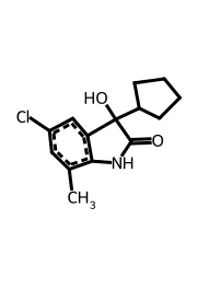 Cc1cc(Cl)cc2c1NC(=O)C2(O)C1CCCC1